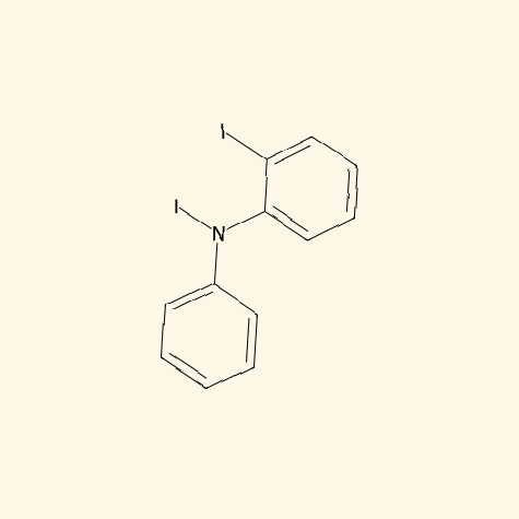 Ic1ccccc1N(I)c1ccccc1